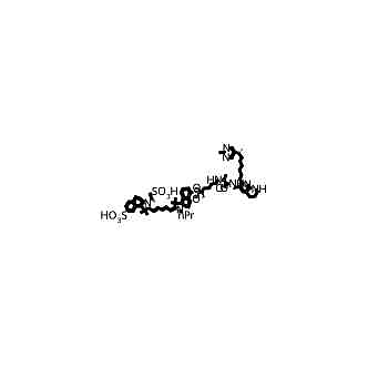 CCCN1/C(=C/C=C/C=C/C2=[N+](CCS(=O)(=O)O)c3ccc4ccc(S(=O)(=O)O)cc4c3C2(C)C)C(C)(C)c2c1ccc1c(S(=O)(=O)N(C)CCCC(=O)NC(C)C(=O)NCc3cc4c(nc3CCCCCC[C@@H](C)c3cnc(C)nc3)NCCC4)cccc21